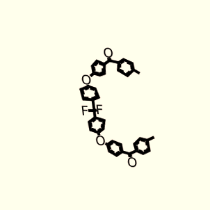 Cc1ccc(C(=O)c2ccc(Oc3ccc(C(F)(F)c4ccc(Oc5ccc(C(=O)c6ccc(C)cc6)cc5)cc4)cc3)cc2)cc1